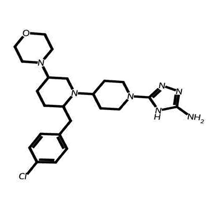 Nc1nnc(N2CCC(N3CC(N4CCOCC4)CCC3Cc3ccc(Cl)cc3)CC2)[nH]1